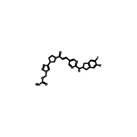 CC(C)(C)C(=O)OCn1cc(C2CCN(C(=O)/C=C/c3cnc(NC4Cc5cc(F)c(F)cc5C4)nc3)C2)nn1